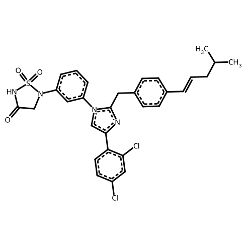 CC(C)CC=Cc1ccc(Cc2nc(-c3ccc(Cl)cc3Cl)cn2-c2cccc(N3CC(=O)NS3(=O)=O)c2)cc1